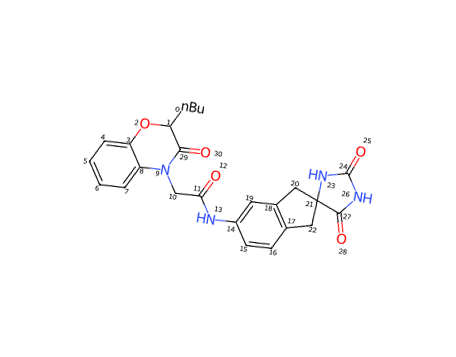 CCCCC1Oc2ccccc2N(CC(=O)Nc2ccc3c(c2)CC2(C3)NC(=O)NC2=O)C1=O